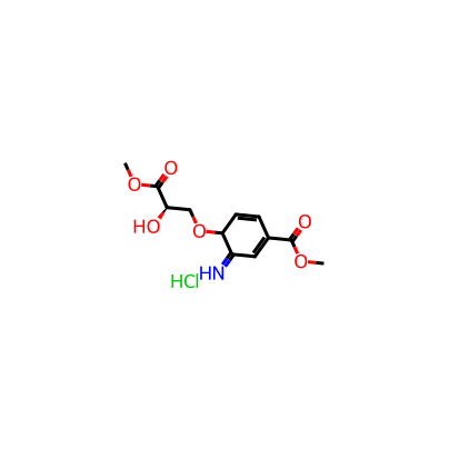 COC(=O)C1=CC(=N)C(OC[C@@H](O)C(=O)OC)C=C1.Cl